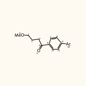 COCCCC(=O)c1ccc(C(C)=O)cc1